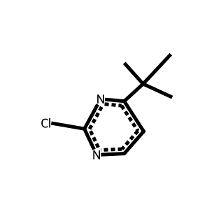 CC(C)(C)c1ccnc(Cl)n1